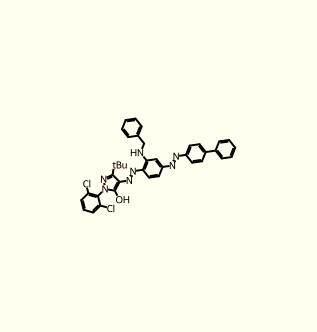 CC(C)(C)c1nn(-c2c(Cl)cccc2Cl)c(O)c1/N=N/c1ccc(/N=N/c2ccc(-c3ccccc3)cc2)cc1NCc1ccccc1